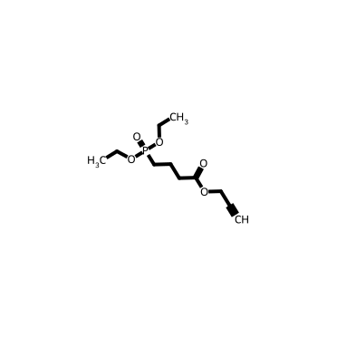 C#CCOC(=O)CCCP(=O)(OCC)OCC